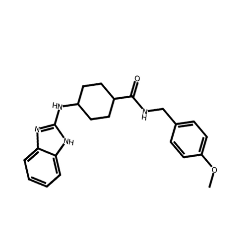 COc1ccc(CNC(=O)C2CCC(Nc3nc4ccccc4[nH]3)CC2)cc1